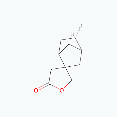 C[C@H]1CC2CC1CC21COC(=O)C1